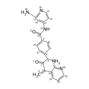 C=C(C(=O)C(N)c1ccc(C(=O)Nc2ccnc(N)c2)cc1)c1cccnc1